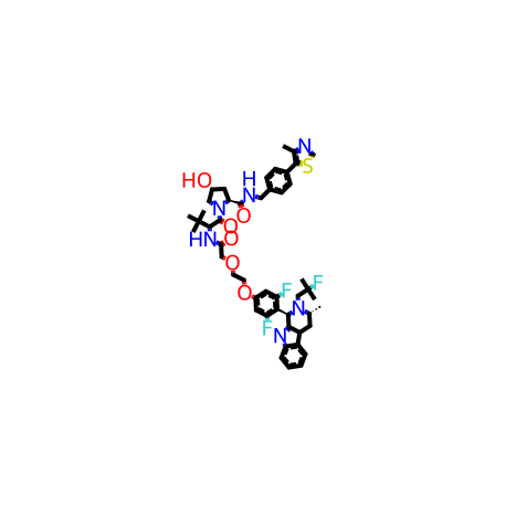 Cc1ncsc1-c1ccc(CNC(=O)[C@@H]2C[C@@H](O)CN2C(=O)C(NC(=O)COCCOc2cc(F)c([C@@H]3C4=Nc5ccccc5C4C[C@@H](C)N3CC(C)(C)F)c(F)c2)C(C)(C)C)cc1